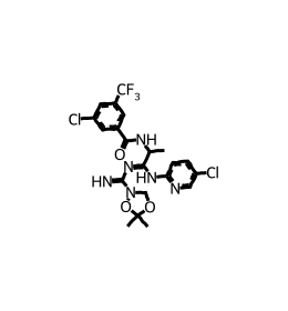 CC(NC(=O)c1cc(Cl)cc(C(F)(F)F)c1)/C(=N/C(=N)N1COC(C)(C)O1)Nc1ccc(Cl)cn1